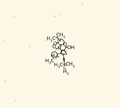 Cc1c(C#CC(C)(C)C)sc(C(=O)O)c1N(C(=O)[C@H]1CC[C@H](C)CC1)[C@H]1CCCN(C(C)C)C1=O